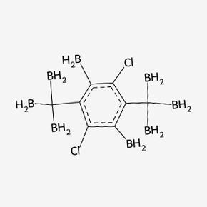 Bc1c(Cl)c(C(B)(B)B)c(B)c(Cl)c1C(B)(B)B